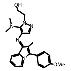 COc1ccc(C2=C(C)/C(=N\c3cnn(CCO)c3N(C)C)c3cccc[n+]32)cc1